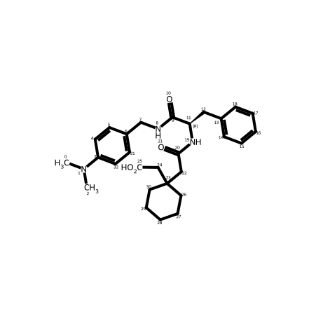 CN(C)c1ccc(CNC(=O)[C@@H](Cc2ccccc2)NC(=O)CC2(CC(=O)O)CCCCC2)cc1